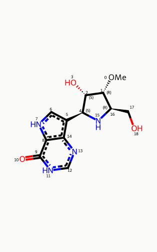 CO[C@H]1[C@@H](O)[C@H](c2c[nH]c3c(=O)[nH]cnc23)N[C@@H]1CO